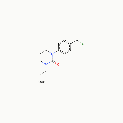 CC(=O)OCCN1CCCN(c2ccc(CCl)cc2)C1=O